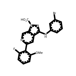 COc1cccc(F)c1-c1cc2c(Nc3cccc(Br)c3)nn(C(=O)O)c2cn1